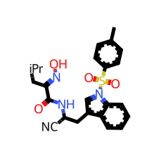 Cc1ccc(S(=O)(=O)n2cc(CC(C#N)NC(=O)C(CC(C)C)=NO)c3ccccc32)cc1